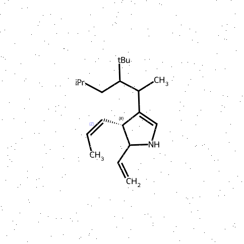 C=CC1NC=C(C(C)C(CC(C)C)C(C)(C)C)[C@H]1/C=C\C